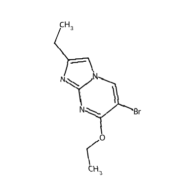 CCOc1nc2nc(CC)cn2cc1Br